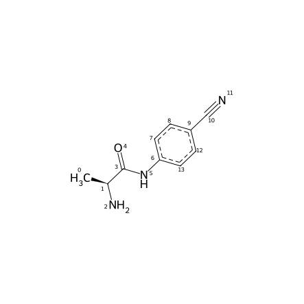 C[C@H](N)C(=O)Nc1ccc(C#N)cc1